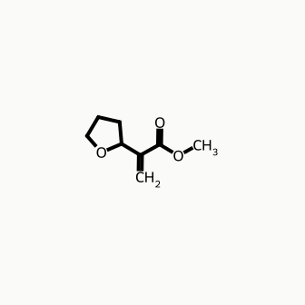 C=C(C(=O)OC)C1CCCO1